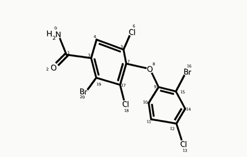 NC(=O)c1cc(Cl)c(Oc2ccc(Cl)cc2Br)c(Cl)c1Br